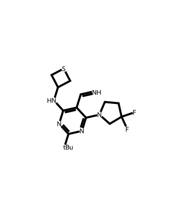 CC(C)(C)c1nc(NC2CSC2)c(C=N)c(N2CCC(F)(F)C2)n1